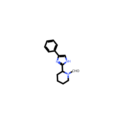 O=CN1CCCCC1c1nc(-c2ccccc2)c[nH]1